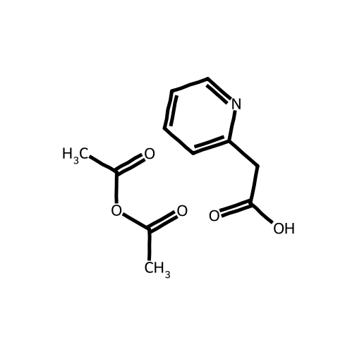 CC(=O)OC(C)=O.O=C(O)Cc1ccccn1